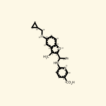 Cc1c(C(Nc2ccc(C(=O)O)cn2)C(C)C)oc2ccc(OCC3CC3)cc12